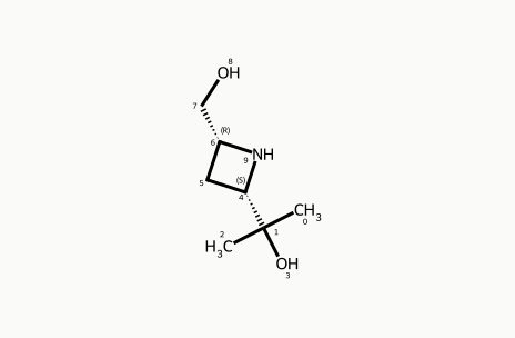 CC(C)(O)[C@@H]1C[C@H](CO)N1